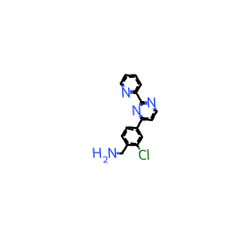 NCc1ccc(-c2ccnc(-c3ccccn3)n2)cc1Cl